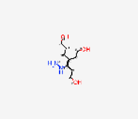 NNC(CCO)=C(CCO)CCCO